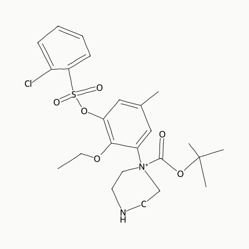 CCOc1c(OS(=O)(=O)c2ccccc2Cl)cc(C)cc1[N+]1(C(=O)OC(C)(C)C)CCNCC1